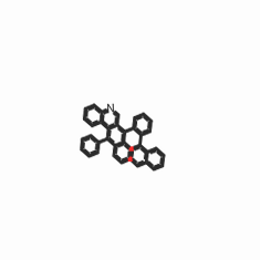 c1ccc(-c2c3ccccc3c(-c3ccccc3-c3cccc4ccccc34)c3cnc4ccccc4c23)cc1